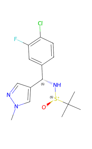 Cn1cc([C@@H](N[S@+]([O-])C(C)(C)C)c2ccc(Cl)c(F)c2)cn1